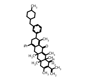 C=C(C)C1=C(C)CC2(C)CC3(C)CC4=C(C(C)C)CC(c5cccc(CC6CCC(C)CC6)c5)C(C)=C4C(=O)C3=C(C)C2(C)C1=C